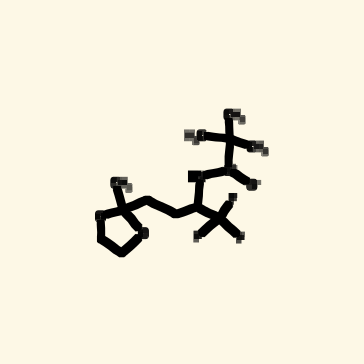 CC1(CCC(N[S+]([O-])C(C)(C)C)C(F)(F)F)OCCO1